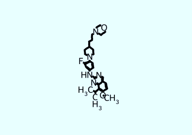 COc1ccc2cnc(Nc3ccc(N4CCC(CCCN5CCOCC5)CC4)c(F)c3)nc2c1C(C)C